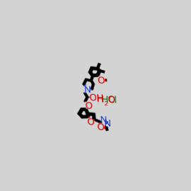 COc1c(C2CCN(C[C@H](O)COc3cccc4oc(-c5nnc(C)o5)cc34)CC2)ccc(C)c1C.Cl.O